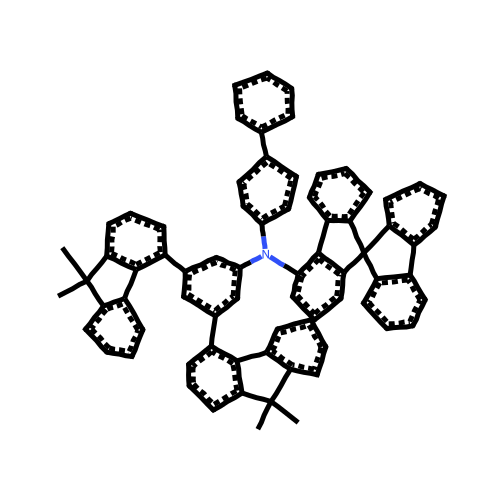 CC1(C)c2ccccc2-c2c(-c3cc(-c4cccc5c4-c4ccccc4C5(C)C)cc(N(c4ccc(-c5ccccc5)cc4)c4cccc5c4-c4ccccc4C54c5ccccc5-c5ccccc54)c3)cccc21